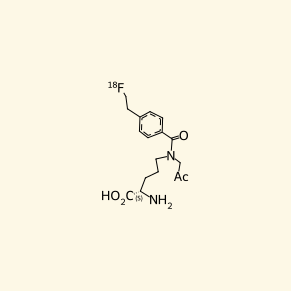 CC(=O)CN(CCC[C@H](N)C(=O)O)C(=O)c1ccc(CC[18F])cc1